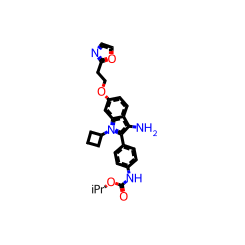 CC(C)OC(=O)Nc1ccc(-c2c(N)c3ccc(OCCc4ncco4)cc3n2C2CCC2)cc1